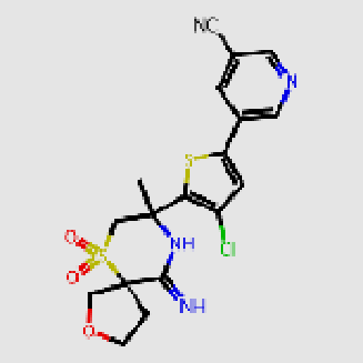 CC1(c2sc(-c3cncc(C#N)c3)cc2Cl)CS(=O)(=O)[C@]2(CCOC2)C(=N)N1